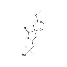 COC(=O)CC(O)(CCCC(C)(C)O)C(N)=O